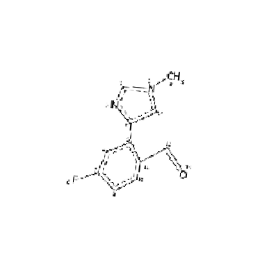 Cn1cnc(-c2cc(F)ccc2C=O)c1